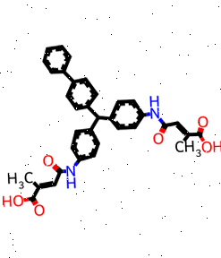 C/C(=C\C(=O)Nc1ccc(C(c2ccc(NC(=O)/C=C(\C)C(=O)O)cc2)c2ccc(-c3ccccc3)cc2)cc1)C(=O)O